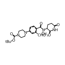 CN(C(=O)c1ccc(N2CCN(C(=O)OC(C)(C)C)CC2)cc1C=O)C1CCC(=O)NC1=O